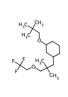 CC(C)(C)COC1CCCC(CC(C)(C)COCC(F)(F)F)C1